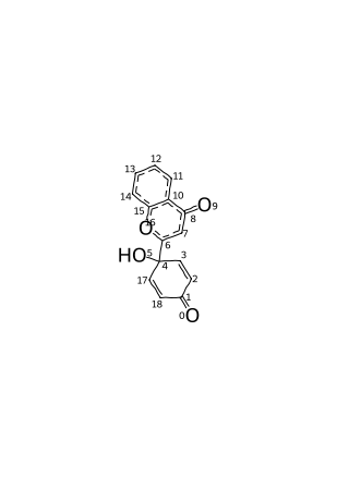 O=C1C=CC(O)(c2cc(=O)c3ccccc3o2)C=C1